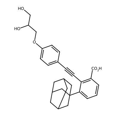 O=C(O)c1cccc(C23CC4CC(CC(C4)C2)C3)c1C#Cc1ccc(OCC(O)CO)cc1